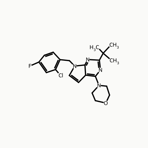 CC(C)(C)c1nc(N2CCOCC2)c2ccn(Cc3ccc(F)cc3Cl)c2n1